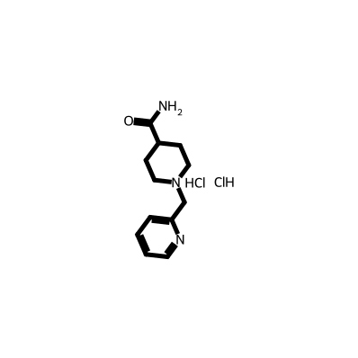 Cl.Cl.NC(=O)C1CCN(Cc2ccccn2)CC1